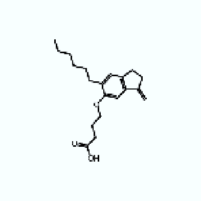 C=C1CCc2cc(CCCCCC)c(OCCCC(=O)O)cc21